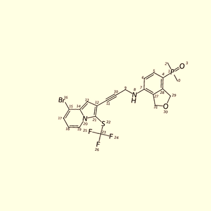 CP(C)(=O)c1ccc(NCC#Cc2cc3c(Br)cccn3c2SC(F)(F)F)c2c1COC2